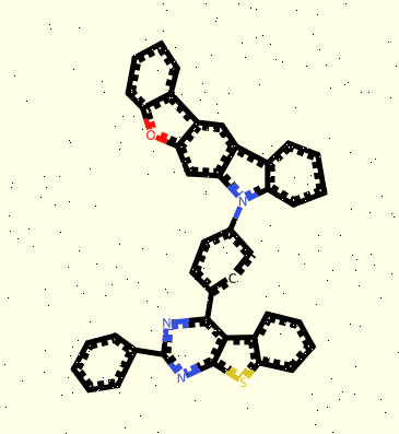 c1ccc(-c2nc(-c3ccc(-n4c5ccccc5c5cc6c(cc54)oc4ccccc46)cc3)c3c(n2)sc2ccccc23)cc1